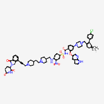 CC1(C)CCC(CN2CCN(c3ccc(C(=O)NS(=O)(=O)c4ccc(NCC5CCN(CCC6CCN(CC#Cc7cccc8c7CN(C7CCC(=O)NC7=O)C8=O)CC6)CC5)c([N+](=O)[O-])c4)c(Oc4cnc5[nH]ccc5c4)c3)CC2)=C(c2ccc(Cl)cc2)C1